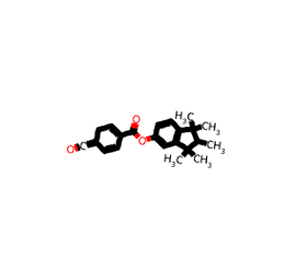 CC1C(C)(C)c2ccc(OC(=O)C3=CCC(=C=O)C=C3)cc2C1(C)C